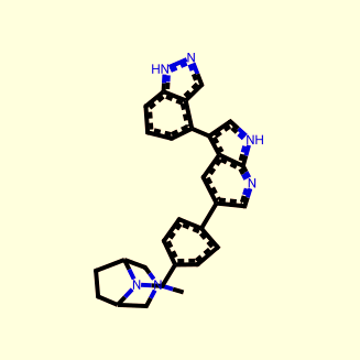 CN1CC2CCC(C1)N2Cc1ccc(-c2cnc3[nH]cc(-c4cccc5[nH]ncc45)c3c2)cc1